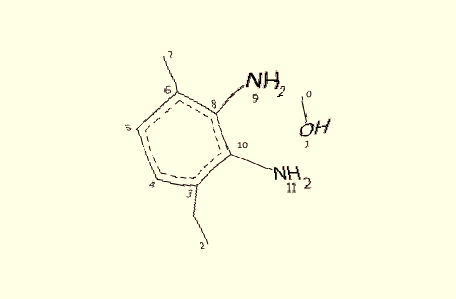 CO.Cc1ccc(C)c(N)c1N